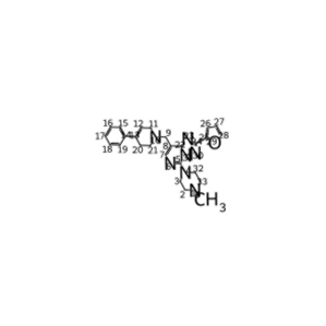 CN1CCN(c2ncc(CN3CC=C(c4ccccc4)CC3)c3nc(-c4ccco4)nn23)CC1